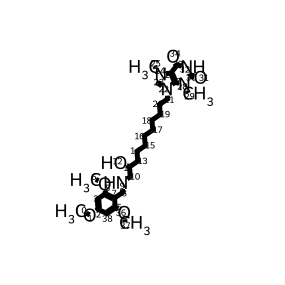 COc1cc(OC)c(CNCC(O)CCCCCCCCCN2CN(C)c3c2n(C)c(=O)[nH]c3=O)c(OC)c1